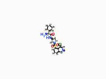 NC(C(=O)N[C@@H]1CCN(S(=O)(=O)c2cccc3cncc(Cl)c23)C1)c1ccccc1